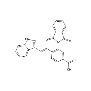 O=C(O)c1ccc(/C=C/c2n[nH]c3ccccc23)c(N2C(=O)c3ccccc3C2=O)c1